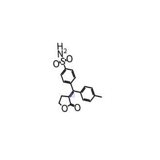 Cc1ccc(/C(=C2/CCOC2=O)c2ccc(S(N)(=O)=O)cc2)cc1